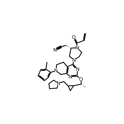 C=CC(=O)N1CCN(c2nc(O[C@H](C)C3CC3CN3CCCC3)nc3c2CCN(c2ccccc2C)C3)C[C@@H]1CC#N